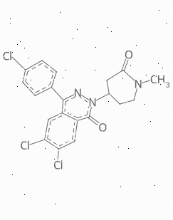 CN1CCC(n2nc(-c3ccc(Cl)cc3)c3cc(Cl)c(Cl)cc3c2=O)CC1=O